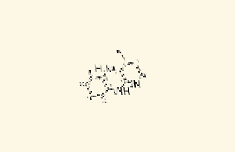 Cc1ccnc(Nc2ccccc2)c1N